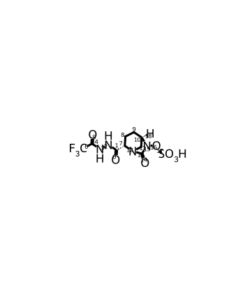 O=C(NNC(=O)C(F)(F)F)[C@@H]1CC[C@@H]2CN1C(=O)N2OS(=O)(=O)O